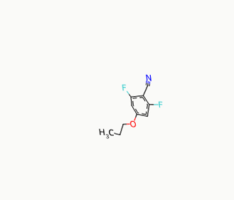 CCCOc1cc(F)c(C#N)c(F)c1